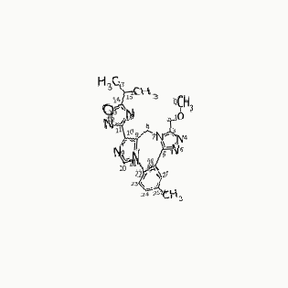 COCc1nnc2n1Cc1c(-c3noc(C(C)C)n3)ncn1-c1ccc(C)cc1-2